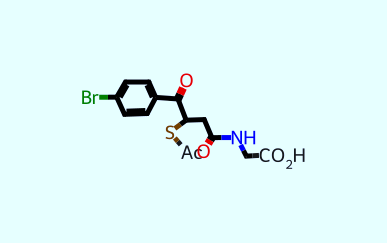 CC(=O)SC(CC(=O)NCC(=O)O)C(=O)c1ccc(Br)cc1